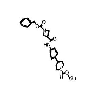 CC(C)(C)OC(=O)N1CCC(c2ccc(NC(=O)C3CN(C(=O)OCc4ccccc4)C3)cc2)CC1